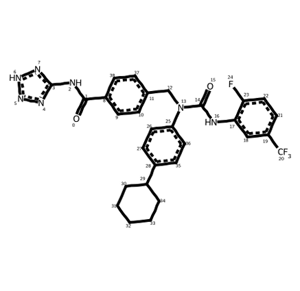 O=C(Nc1nn[nH]n1)c1ccc(CN(C(=O)Nc2cc(C(F)(F)F)ccc2F)c2ccc(C3CCCCC3)cc2)cc1